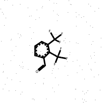 O=Cc1cccc(C(F)(F)F)c1C(F)(F)F